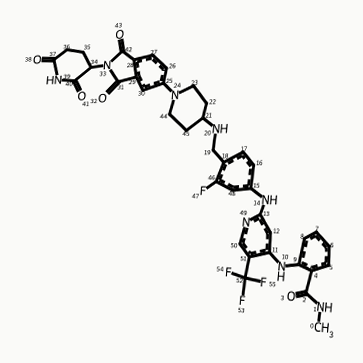 CNC(=O)c1ccccc1Nc1cc(Nc2ccc(CNC3CCN(c4ccc5c(c4)C(=O)N(C4CCC(=O)NC4=O)C5=O)CC3)c(F)c2)ncc1C(F)(F)F